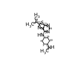 CN[C@H]1CC[C@H](Nc2ncnc3sc(C(C)C)nc23)CC1